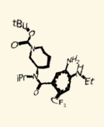 CCNc1cc(C(F)(F)F)c(C(=O)N(C(C)C)[C@@H]2CCCN(C(=O)OC(C)(C)C)C2)cc1N